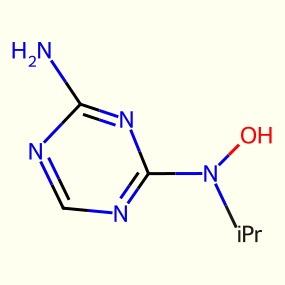 CC(C)N(O)c1ncnc(N)n1